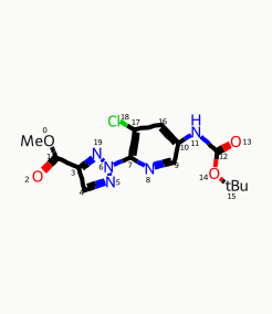 COC(=O)c1cnn(-c2ncc(NC(=O)OC(C)(C)C)cc2Cl)n1